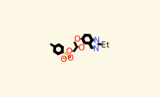 CCc1ncc2c3c(ccc2n1)OCC(COS(=O)(=O)c1ccc(C)cc1)O3